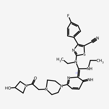 CCN/C(=C1/N=C(N2CCN(CC(=O)N3CC(O)C3)CC2)C=CC1=N)N(CC)c1nc(-c2ccc(F)cc2)c(C#N)s1